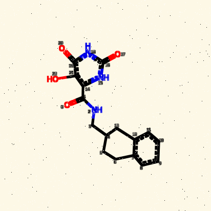 O=C(NCC1CCc2ccccc2C1)c1[nH]c(=O)[nH]c(=O)c1O